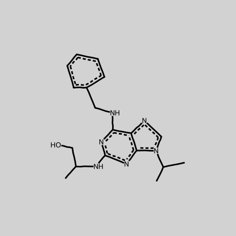 CC(CO)Nc1nc(NCc2ccccc2)c2ncn(C(C)C)c2n1